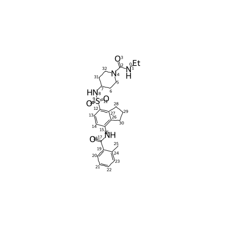 CCNC(=O)N1CCC(NS(=O)(=O)c2ccc(NC(=O)c3ccccc3C)c3c2CCC3)CC1